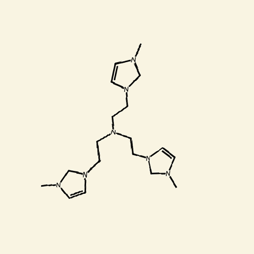 CN1C=CN(CCN(CCN2C=CN(C)C2)CCN2C=CN(C)C2)C1